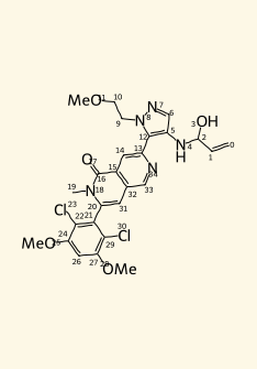 C=CC(O)Nc1cnn(CCOC)c1-c1cc2c(=O)n(C)c(-c3c(Cl)c(OC)cc(OC)c3Cl)cc2cn1